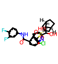 O=C(Nc1ccc(F)c(F)c1)c1ccc(Cl)c(S(=O)(=O)[C@@H]2C[C@H]3CC[C@@H](C2)[C@@]3(O)C(O)c2ccccn2)c1